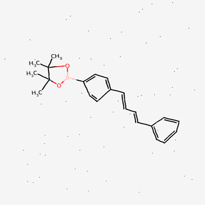 CC1(C)OB(c2ccc(C=C/C=C/c3ccccc3)cc2)OC1(C)C